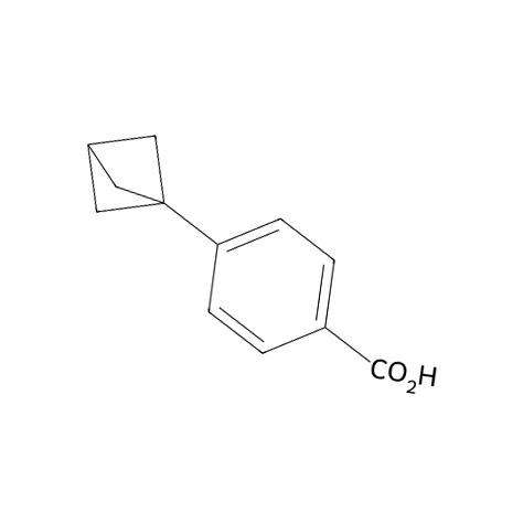 O=C(O)c1ccc(C23CC(C2)C3)cc1